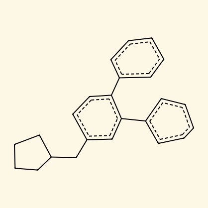 c1ccc(-c2ccc(CC3CCCC3)cc2-c2ccccc2)cc1